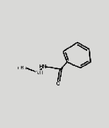 CCCCNNC(=O)c1ccccc1